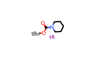 CC(C)(C)OC(=O)N1CCCCC1.I